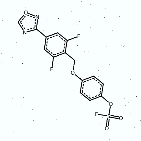 O=S(=O)(F)Oc1ccc(OCc2c(F)cc(-c3ncon3)cc2F)cc1